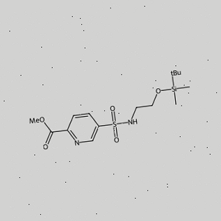 COC(=O)c1ccc(S(=O)(=O)NCCO[Si](C)(C)C(C)(C)C)cn1